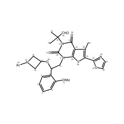 COc1ccccc1C(Cn1c(=O)n(C(C)(C)C=O)c(=O)c2c(C)c(-c3ncco3)sc21)OC1CN(C(C)=O)C1